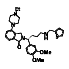 CCN1CCN(c2cccc3c2CN([C@H](CCCNCc2cccs2)c2ccc(OC)c(OC)c2)C3=O)CC1